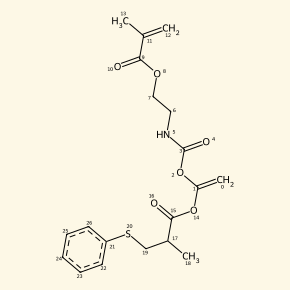 C=C(OC(=O)NCCOC(=O)C(=C)C)OC(=O)C(C)CSc1ccccc1